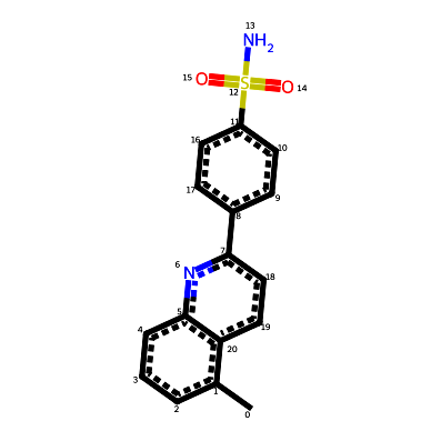 Cc1cccc2nc(-c3ccc(S(N)(=O)=O)cc3)ccc12